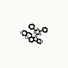 C1=Cc2c(ccc3c4ccncc4n(-c4nc(-c5ccccc5)nc(-c5ccccc5)n4)c23)Oc2cnccc21